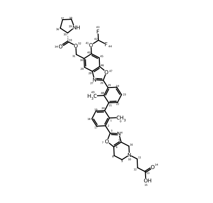 Cc1c(-c2nc3c(o2)CCN(CCC(=O)O)C3)cccc1-c1cccc(-c2nc3cc(COC(=O)[C@@H]4CCCN4)c(OC(F)F)cc3o2)c1C